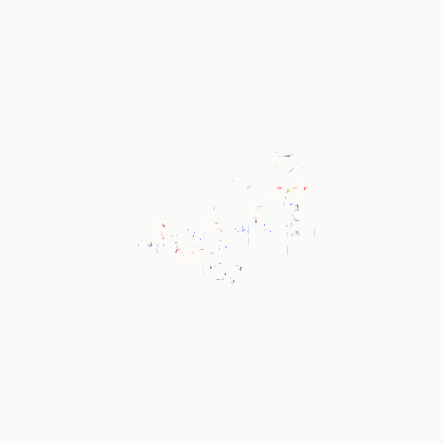 CCCCC(NC(=O)[C@@H]1[C@@H]2[C@H](CN1C(=O)[C@@H](NC(=O)N[C@H](CN(C)S(=O)(=O)c1cccs1)C(C)(C)C)C1CCCCC1)C2(C)C)C(=O)C(=O)NC